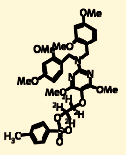 [2H]C([2H])(Oc1c(OC)nc(N(Cc2ccc(OC)cc2OC)Cc2ccc(OC)cc2OC)nc1OC)C([2H])([2H])OS(=O)(=O)c1ccc(C)cc1